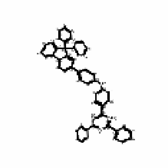 c1ccc(-c2nc(-c3ccccc3)nc(-c3ccc(Oc4ccc(-c5ccc6c(c5)C(c5ccccc5)(c5ccccc5)c5ccccc5-6)cc4)cc3)n2)cc1